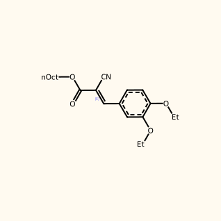 CCCCCCCCOC(=O)/C(C#N)=C/c1ccc(OCC)c(OCC)c1